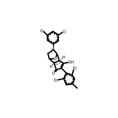 CCc1cc(C)cc(CC)c1C1=C(O)[C@@H]2C3OC(C[C@H]3c3cc(Cl)cc(Cl)c3)[C@@H]2C1=O